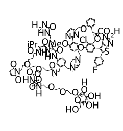 COc1ccccc1-c1nccc(COc2ccccc2C[C@@H](Oc2ncnc3sc(-c4ccc(F)cc4)c(-c4ccc(OCCN5CC[N+](C)(Cc6ccc(NC(=O)[C@H](CCCNC(N)=O)NC(=O)[C@@H](NC(=O)CCOCCN7C(=O)C=CC7=O)C(C)C)cc6CN(C)C(=O)CCOCCOC(=O)NS(=O)(=O)NCCOCCOCCO[C@@H]6O[C@H](CO)[C@@H](O)[C@H](O)[C@H]6O)CC5)c(Cl)c4C)c23)C(=O)O)n1